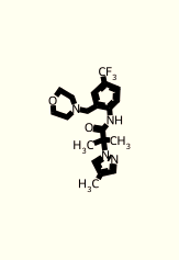 Cc1cnn(C(C)(C)C(=O)Nc2ccc(C(F)(F)F)cc2CN2CCOCC2)c1